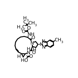 Cc1ccc2nn([C@H]3C[C@H]4C(=O)N[C@@]5(C(=O)O)C[C@H]5/C=C\CCCCC[C@@H](NC(=O)OC(C)(C)C)C(=O)N4C3)nc2c1